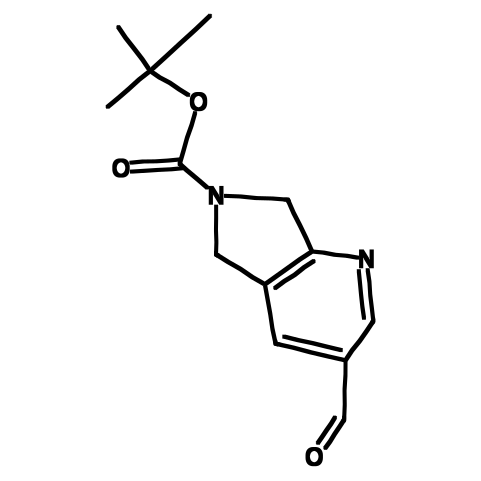 CC(C)(C)OC(=O)N1Cc2cc(C=O)cnc2C1